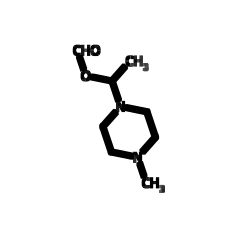 CC(OC=O)N1CCN(C)CC1